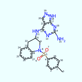 Cc1ccc(S(=O)(=O)N2CC(Nc3nc(N)nc4[nH]ncc34)Cc3ccccc32)cc1